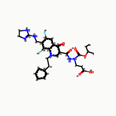 CCC(C)OC(=O)N(CCC(=O)O)NC(=O)c1cn(CCc2ccccc2)c2c(F)c(CNC3=NCCN3)c(F)cc2c1=O